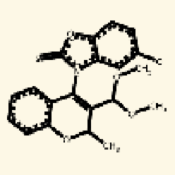 COC(OC)C1=C(n2c(=S)oc3ccc(Cl)cc32)c2ccccc2OC1C